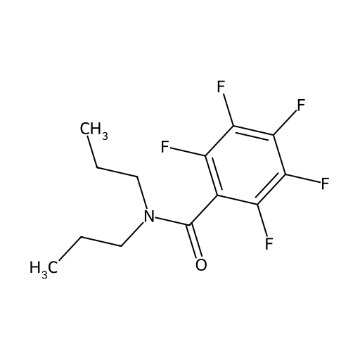 CCCN(CCC)C(=O)c1c(F)c(F)c(F)c(F)c1F